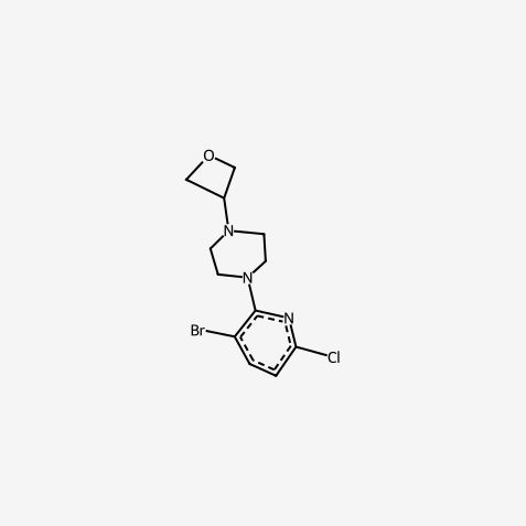 Clc1ccc(Br)c(N2CCN(C3COC3)CC2)n1